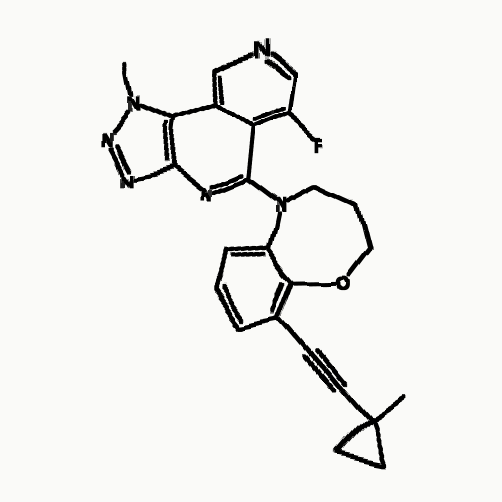 Cn1nnc2nc(N3CCCOc4c(C#CC5(C)CC5)cccc43)c3c(F)cncc3c21